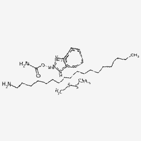 CCCCCCCCCCCCCCCCCCN.CSSC.NC(=O)[O][Mo].c1ccc2[nH]nnc2c1